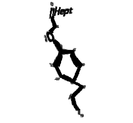 CCCCCCCCOc1ccc(CCI)cc1